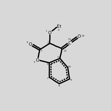 CCOC1C(=O)Oc2ccccc2C1=C=O